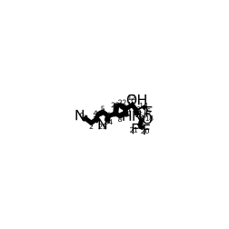 N#CCc1ccc(-c2ccc([C@H](O)[C@@H](CF)NC(=O)C(F)F)cc2)cn1